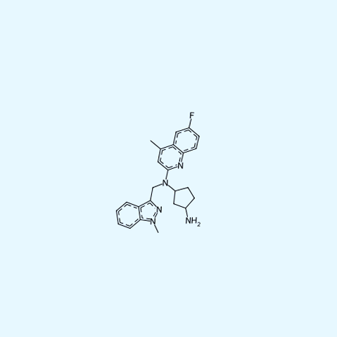 Cc1cc(N(Cc2nn(C)c3ccccc23)C2CCC(N)C2)nc2ccc(F)cc12